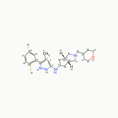 Cc1cc(NC2C[C@@H]3CN(CC4CCOCC4)C[C@@H]3C2)nnc1-c1cc(F)ccc1F